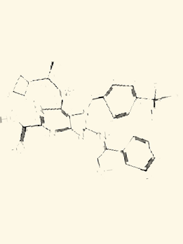 C[C@@H](Nc1nc(C(=O)O)nc2nc(NC(CO)c3ccccc3)n(Cc3ccc(C(F)(F)F)cc3)c12)C1CCC1